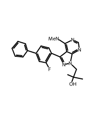 CNc1ncnc2c1c(-c1ccc(-c3ccccc3)cc1F)nn2CC(C)(C)O